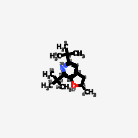 C[C@@H]1Cc2cc(C(C)(C)C)nc(C(C)(C)C)c2O1